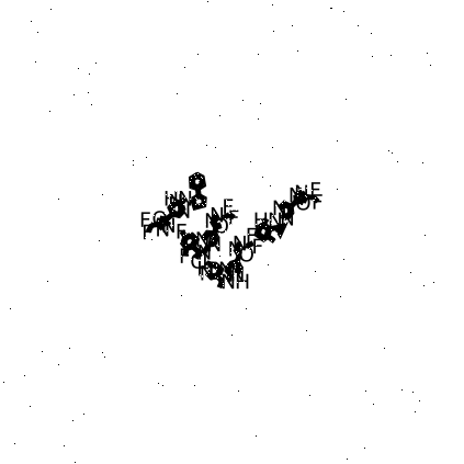 CC(Nc1ncc(-c2nnc(C(F)F)o2)cn1)c1ccc(Cl)nc1.CC(Nc1ncc(-c2nnc(C(F)F)o2)cn1)c1ccc(F)cc1F.Cc1cccc(C)c1C1(Nc2ncc(-c3nnc(C(F)F)o3)cn2)CC1.FC(F)c1nnc(-c2cnc(NC3CCCC3c3ccccc3)nc2)o1